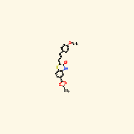 COc1ccc(/C=C/C=C2/Sc3ccc(C4OC(C)O4)cc3NC2=O)cc1